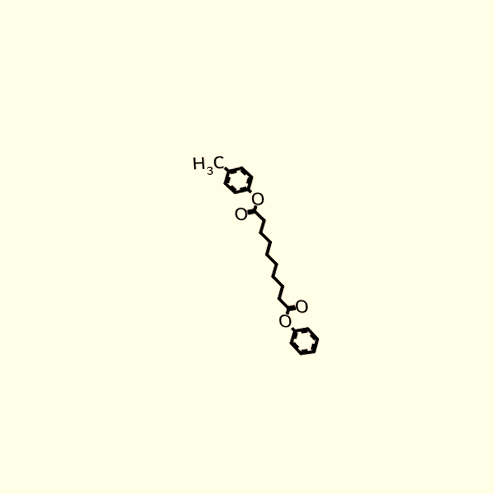 Cc1ccc(OC(=O)CCCCCCCCC(=O)Oc2ccccc2)cc1